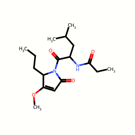 CCCC1C(OC)=CC(=O)N1C(=O)C(CC(C)C)NC(=O)CC